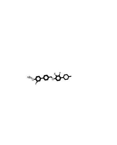 CCCCOc1ccc(-c2ccc(COc3ccc(C4CCC(C)CC4)c(F)c3F)cc2)cc1F